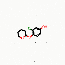 Oc1ccc(OC2CCCCO2)c(F)c1